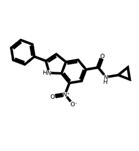 O=C(NC1CC1)c1cc([N+](=O)[O-])c2[nH]c(-c3ccccc3)cc2c1